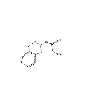 CC(C)(C)O[C](=O)[Sn][N]1CCc2ccccc2C1